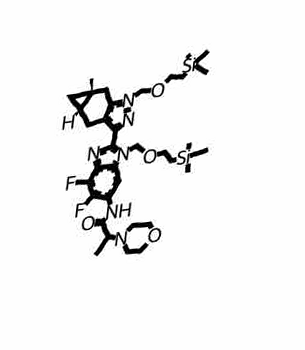 CC(C(=O)Nc1cc2c(nc(-c3nn(COCC[Si](C)(C)C)c4c3C[C@@H]3C[C@]3(C)C4)n2COCC[Si](C)(C)C)c(F)c1F)N1CCOCC1